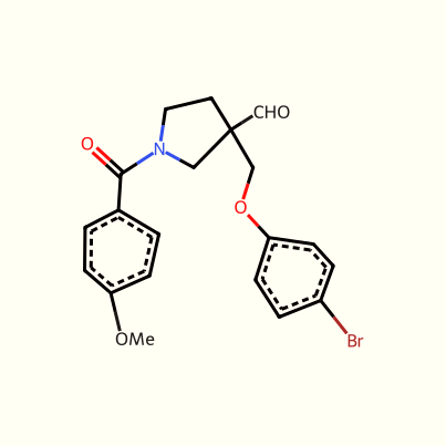 COc1ccc(C(=O)N2CCC(C=O)(COc3ccc(Br)cc3)C2)cc1